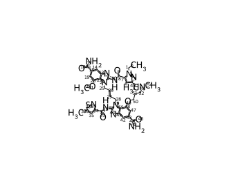 CCn1nc(C)cc1C(=O)Nc1nc2cc(C(N)=O)cc(OC)c2n1C/C=C/Cn1c(NC(=O)c2cc(C)sn2)nc2cc(C(N)=O)cc(OCCCNC)c21